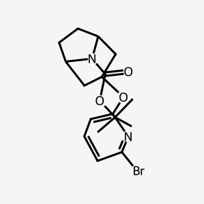 CC(C)(C)OC(=O)N1C2CCC1CC(Oc1cccc(Br)n1)C2